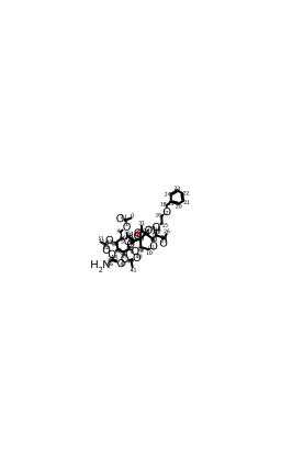 CC(=O)OC[C@H]1O[C@@H](O[C@H]2[CH]O[C@H](C(OCCOCc3ccccc3)C(C)=O)[C@@](O)(C(C)=O)[C@]2(O)C(C)=O)[C@@H](OC(C)=O)[C@@H](OC(N)=O)[C@@H]1OC(C)=O